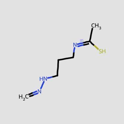 C=NNCCC/N=C(/C)S